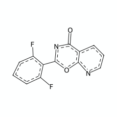 O=c1nc(-c2c(F)cccc2F)oc2ncccc12